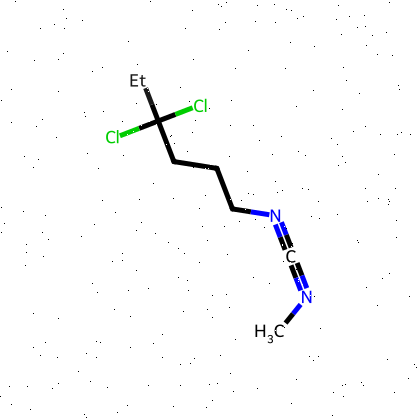 CCC(Cl)(Cl)CCCN=C=NC